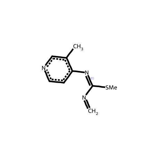 C=N/C(=N\c1ccncc1C)SC